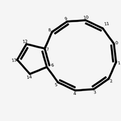 C1=CC=CC=CC2=C(C=CC=C1)C=CC2